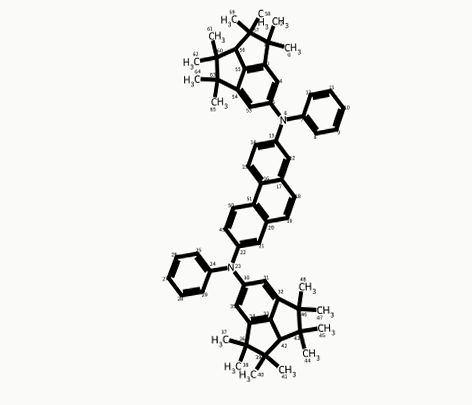 CC1(C)c2cc(N(c3ccccc3)c3ccc4c(ccc5cc(N(c6ccccc6)c6cc7c8c(c6)C(C)(C)C(C)(C)C8C(C)(C)C7(C)C)ccc54)c3)cc3c2C(C1(C)C)C(C)(C)C3(C)C